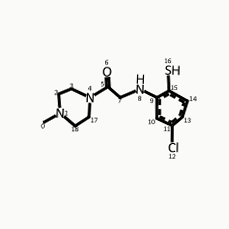 CN1CCN(C(=O)CNc2cc(Cl)ccc2S)CC1